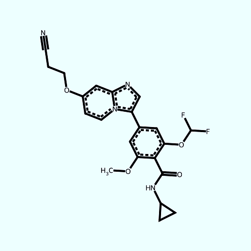 COc1cc(-c2cnc3cc(OCCC#N)ccn23)cc(OC(F)F)c1C(=O)NC1CC1